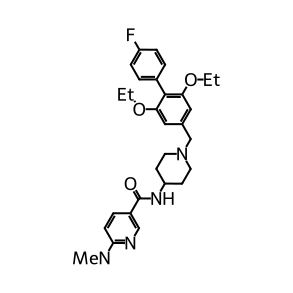 CCOc1cc(CN2CCC(NC(=O)c3ccc(NC)nc3)CC2)cc(OCC)c1-c1ccc(F)cc1